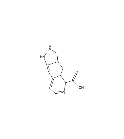 O=C(O)C1N=CC=C2C=C3NNCC3CC21